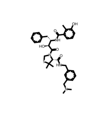 Cc1c(O)cccc1C(=O)N[C@@H](Cc1ccccc1)[C@H](O)C(=O)N1CSC(C)(C)[C@H]1C(=O)NCc1cccc(CN(C)C)c1